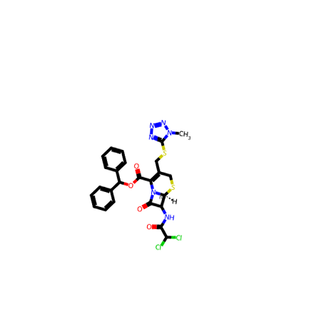 Cn1nnnc1SCC1=C(C(=O)OC(c2ccccc2)c2ccccc2)N2C(=O)C(NC(=O)C(Cl)Cl)[C@@H]2SC1